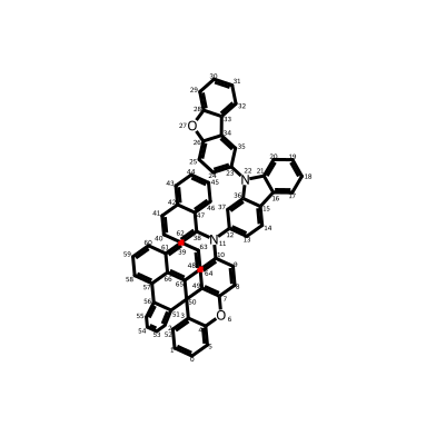 c1ccc2c(c1)Oc1ccc(N(c3ccc4c5ccccc5n(-c5ccc6oc7ccccc7c6c5)c4c3)c3cccc4ccccc34)cc1C21c2ccccc2-c2cccc3cccc1c23